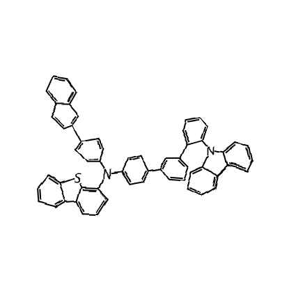 c1cc(-c2ccc(N(c3ccc(-c4ccc5ccccc5c4)cc3)c3cccc4c3sc3ccccc34)cc2)cc(-c2ccccc2-n2c3ccccc3c3ccccc32)c1